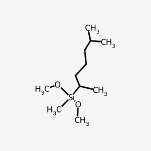 CO[Si](C)(OC)C(C)CCCC(C)C